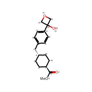 COC(=O)[C@H]1CC[C@H](Cc2ccc(C3(O)COC3)cc2)CC1